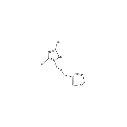 CC(C)c1nc(Cl)c(COCc2ccccc2)[nH]1